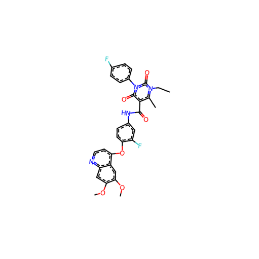 CCn1c(C)c(C(=O)Nc2ccc(Oc3ccnc4cc(OC)c(OC)cc34)c(F)c2)c(=O)n(-c2ccc(F)cc2)c1=O